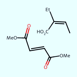 CC=C(CC)C(=O)O.COC(=O)C=CC(=O)OC